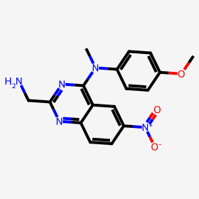 COc1ccc(N(C)c2nc(CN)nc3ccc([N+](=O)[O-])cc23)cc1